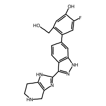 OCc1cc(O)c(F)cc1-c1ccc2c(-c3nc4c([nH]3)CCNC4)n[nH]c2c1